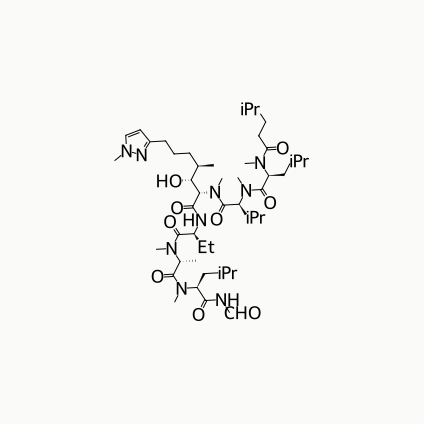 CC[C@H](NC(=O)[C@H]([C@H](O)[C@H](C)CCCc1ccn(C)n1)N(C)C(=O)[C@H](C(C)C)N(C)C(=O)[C@H](CC(C)C)N(C)C(=O)CCC(C)C)C(=O)N(C)[C@H](C)C(=O)N(C)[C@@H](CC(C)C)C(=O)NC=O